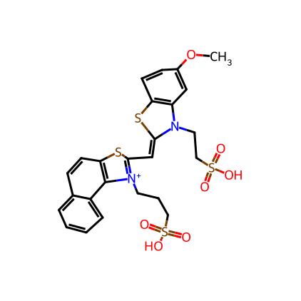 COc1ccc2c(c1)N(CCS(=O)(=O)O)/C(=C/c1sc3ccc4ccccc4c3[n+]1CCCS(=O)(=O)O)S2